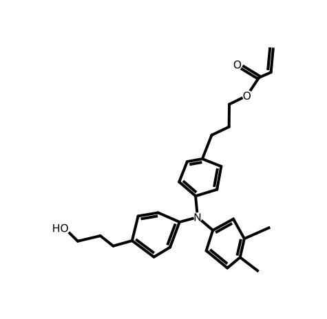 C=CC(=O)OCCCc1ccc(N(c2ccc(CCCO)cc2)c2ccc(C)c(C)c2)cc1